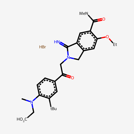 Br.CCOc1cc2c(cc1C(=O)NC)C(=N)N(CC(=O)c1ccc(N(C)CC(=O)O)c(C(C)(C)C)c1)C2